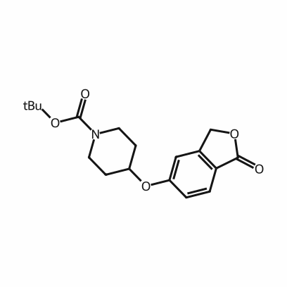 CC(C)(C)OC(=O)N1CCC(Oc2ccc3c(c2)COC3=O)CC1